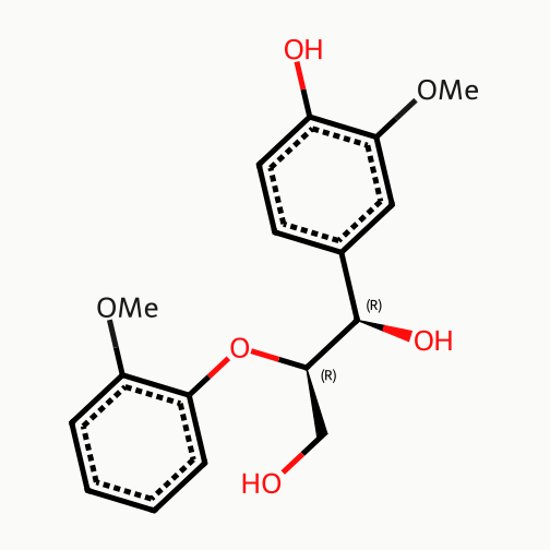 COc1cc([C@@H](O)[C@@H](CO)Oc2ccccc2OC)ccc1O